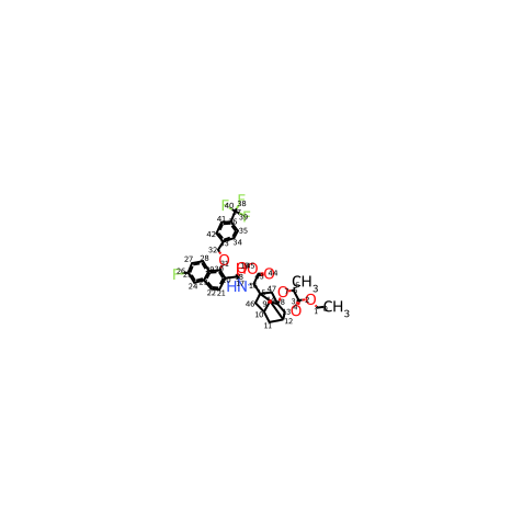 CCOC(=O)[C@H](C)OC12CC3CC(C1)CC([C@H](NC(=O)c1ccc4cc(F)ccc4c1OCc1ccc(C(F)(F)F)cc1)C(=O)O)(C3)C2